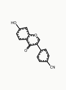 N#Cc1ccc(-c2coc3cc(O)ccc3c2=O)cc1